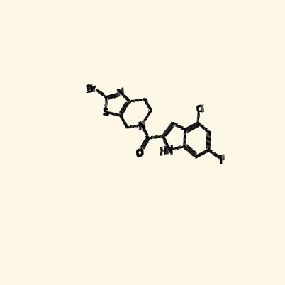 O=C(c1cc2c(Cl)cc(F)cc2[nH]1)N1CCc2nc(Br)sc2C1